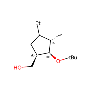 CCC1C[C@H](CO)[C@H](OC(C)(C)C)[C@H]1C